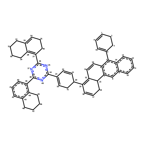 C1=CCCC(c2c3c(cc4ccccc24)C2CC=CC(C4C=CC(c5nc(C6=C7CCCCC7=CCC6)nc(-c6cccc7c6CCCC7)n5)=CC4)=C2C=C3)=C1